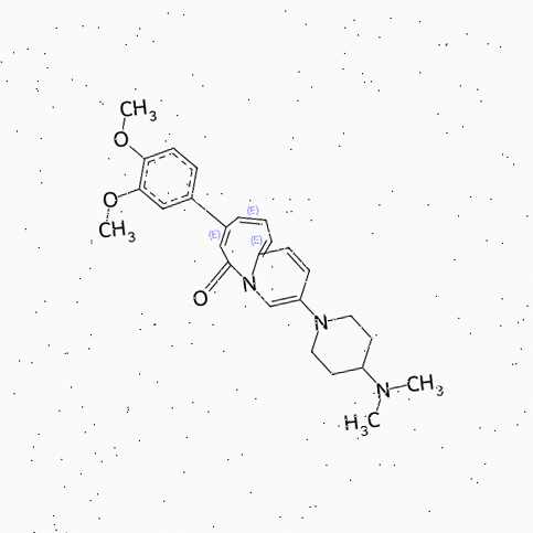 COc1ccc(C2=C\C(=O)N3C=C(N4CCC(N(C)C)CC4)C=C\C3=C/C=C/2)cc1OC